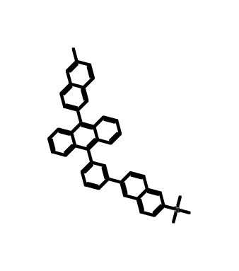 Cc1ccc2cc(-c3c4ccccc4c(-c4cccc(-c5ccc6cc([Si](C)(C)C)ccc6c5)c4)c4ccccc34)ccc2c1